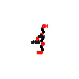 CCCCCCOCCCC.OCCOCCOCCO